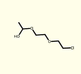 CC(O)OCCOCCCl